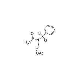 CC(=O)OC=CN(C(N)=O)S(=O)(=O)c1ccccc1